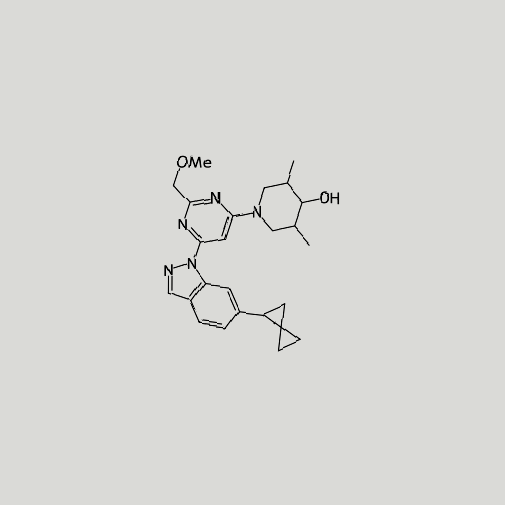 COCc1nc(N2CC(C)C(O)C(C)C2)cc(-n2ncc3ccc(C4CC45CC5)cc32)n1